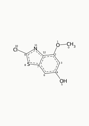 COc1cc(O)cc2sc(Cl)nc12